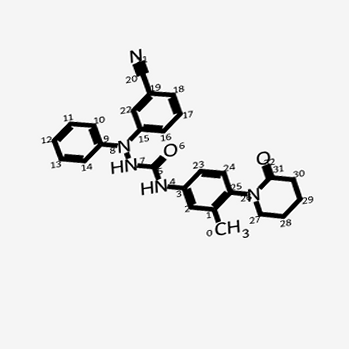 Cc1cc(NC(=O)NN(c2ccccc2)c2cccc(C#N)c2)ccc1N1CCCCC1=O